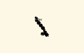 CCC(C)N1N=CN(c2ccc(N3CCN(c4ccc(OCC5COC(Cn6nccn6)(c6ccncc6)O5)cc4)CC3)cc2)C1O